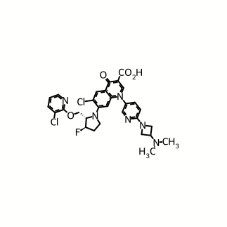 CN(C)C1CN(c2ccc(-n3cc(C(=O)O)c(=O)c4cc(Cl)c(N5CC[C@@H](F)[C@@H]5COc5ncccc5Cl)cc43)cn2)C1